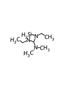 CCN1[SiH2]N(CC)C1N(C)C